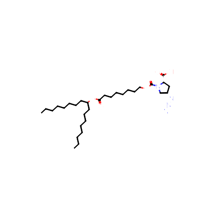 CCCCCCCCC(CCCCCCCC)OC(=O)CCCCCCCOC(=O)N1C[C@@H](N=[N+]=[N-])C[C@H]1C(=O)O